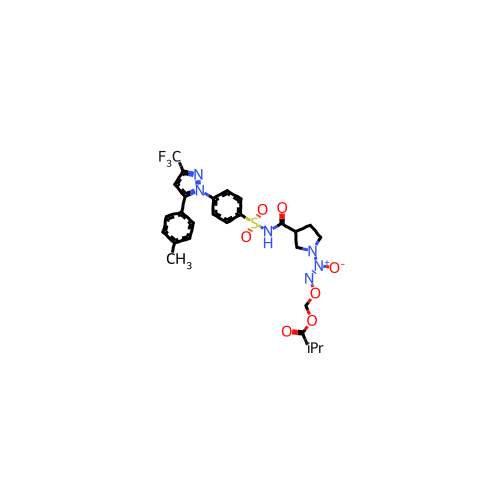 Cc1ccc(-c2cc(C(F)(F)F)nn2-c2ccc(S(=O)(=O)NC(=O)C3CCN([N+]([O-])=NOCOC(=O)C(C)C)C3)cc2)cc1